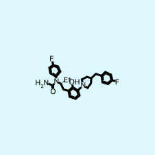 CC[C@H](Cc1cccc(N2CCC(Cc3ccc(F)cc3)CC2)c1O)N(C(N)=O)c1ccc(F)cc1